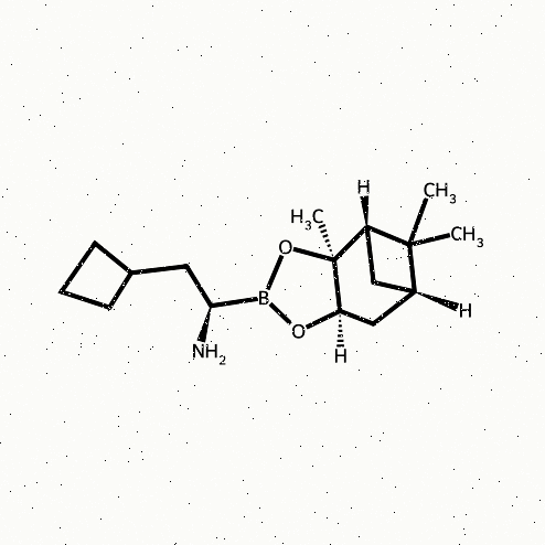 CC1(C)[C@@H]2C[C@H]3OB([C@@H](N)CC4CCC4)O[C@@]3(C)[C@H]1C2